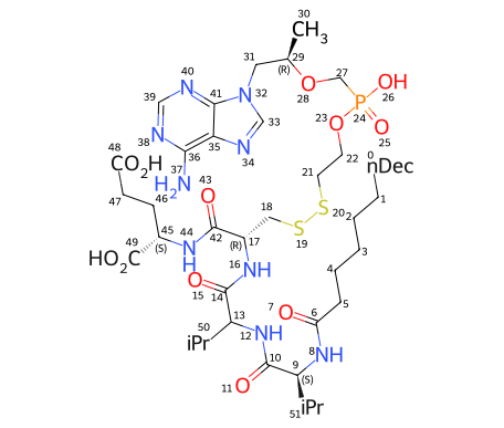 CCCCCCCCCCCCCCCC(=O)N[C@H](C(=O)NC(C(=O)N[C@@H](CSSCCOP(=O)(O)CO[C@H](C)Cn1cnc2c(N)ncnc21)C(=O)N[C@@H](CCC(=O)O)C(=O)O)C(C)C)C(C)C